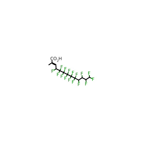 CC(=CC(F)C(F)(F)C(F)(F)C(F)(F)C(F)(F)C(F)(F)C(F)C(F)C(F)C(F)F)C(=O)O